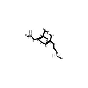 CNCCC/C1=C/C/C(CNC)=C(\C)CCC1